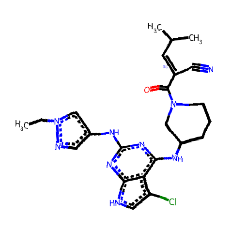 CCn1cc(Nc2nc(NC3CCCN(C(=O)/C(C#N)=C/C(C)C)C3)c3c(Cl)c[nH]c3n2)cn1